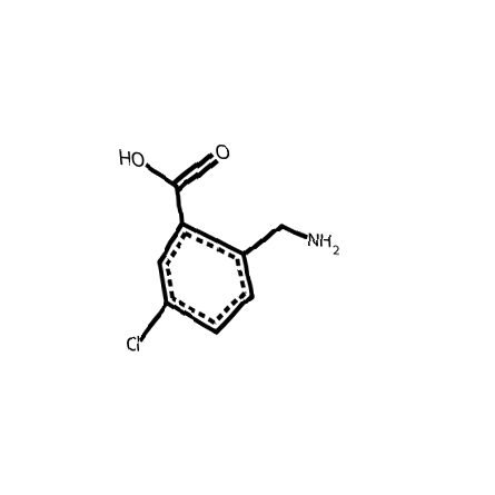 NCc1ccc(Cl)cc1C(=O)O